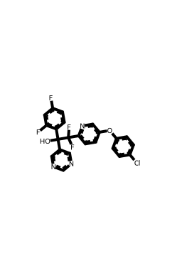 OC(c1cncnc1)(c1ccc(F)cc1F)C(F)(F)c1ccc(Oc2ccc(Cl)cc2)cn1